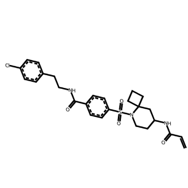 C=CC(=O)NC1CCN(S(=O)(=O)c2ccc(C(=O)NCCc3ccc(Cl)cc3)cc2)C2(CCC2)C1